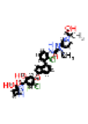 CC(CO)N1CCc2c(nc(C(=O)Nc3cccc(-c4cccc5c4CCC5Oc4cc(O)c(CNC5(C(=O)O)CCC5)c(F)c4Cl)c3Cl)n2C)C1